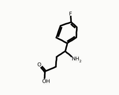 NC(CCC(=O)O)c1ccc(F)cc1